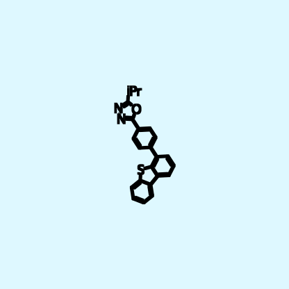 CC(C)c1nnc(-c2ccc(-c3cccc4c3sc3ccccc34)cc2)o1